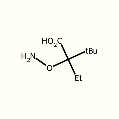 CCC(ON)(C(=O)O)C(C)(C)C